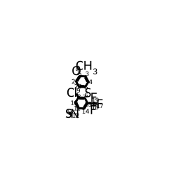 COc1ccc(Sc2c(Cl)cc(N=S)cc2C(F)(F)F)cc1